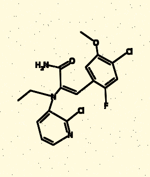 CCN(/C(=C/c1cc(OC)c(Cl)cc1F)C(N)=O)c1cccnc1Cl